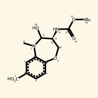 CN1c2cc(C(=O)O)ccc2OC[C@H](NC(=O)OC(C)(C)C)C1O